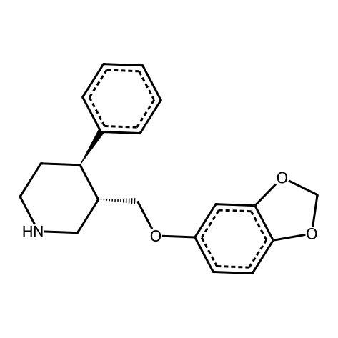 c1ccc([C@@H]2CCNC[C@H]2COc2ccc3c(c2)OCO3)cc1